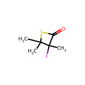 CC1(C)SC(=O)C1(C)I